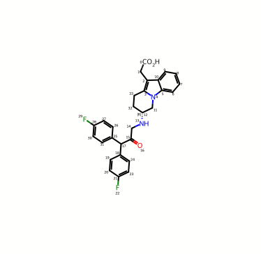 O=C(O)Cc1c2n(c3ccccc13)C[C@H](NCC(=O)C(c1ccc(F)cc1)c1ccc(F)cc1)CC2